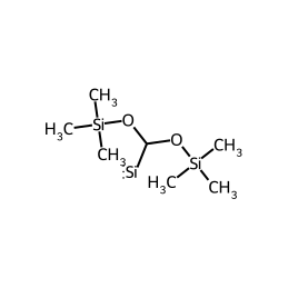 C[Si](C)(C)OC([Si])O[Si](C)(C)C